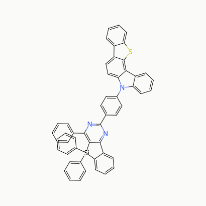 c1ccc(-c2nc(-c3ccc(-n4c5ccccc5c5c6sc7ccccc7c6ccc54)cc3)nc3c2[Si](c2ccccc2)(c2ccccc2)c2ccccc2-3)cc1